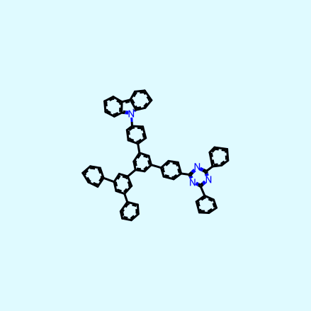 c1ccc(-c2cc(-c3ccccc3)cc(-c3cc(-c4ccc(-c5nc(-c6ccccc6)nc(-c6ccccc6)n5)cc4)cc(-c4ccc(-n5c6ccccc6c6ccccc65)cc4)c3)c2)cc1